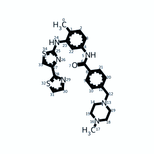 Cc1ccc(NC(=O)c2ccc(CN3CCN(C)CC3)cc2)cc1Nc1nc(-c2nccs2)cs1